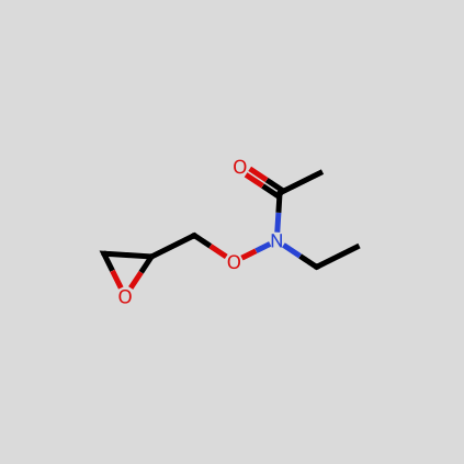 CCN(OCC1CO1)C(C)=O